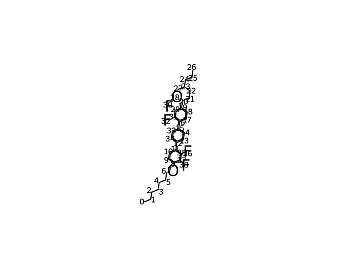 CCCCCCCOc1ccc(-c2ccc(-c3ccc(C4CCC(CCC)CO4)c(F)c3F)cc2)c(F)c1F